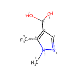 Cn1ncc(C(O)O)c1C(F)(F)F